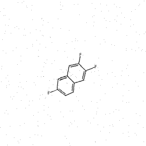 Fc1[c]c2cc(F)c(F)[c]c2cc1